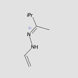 C=CN/N=C(\C)C(C)C